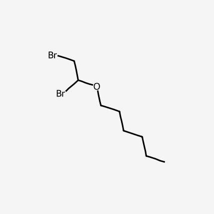 CCCCCCOC(Br)CBr